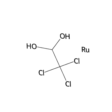 OC(O)C(Cl)(Cl)Cl.[Ru]